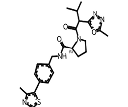 Cc1nnc(C(C(=O)N2CCC[C@H]2C(=O)NCc2ccc(-c3scnc3C)cc2)C(C)C)o1